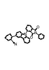 N#Cc1ccccc1-c1ccc2c(c1)c1ccccc1n2-c1cccc2c1C(=O)N(c1ccccc1)C2=O